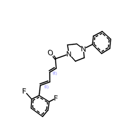 O=C(/C=C/C=C/c1c(F)cccc1F)N1CCN(c2ccccc2)CC1